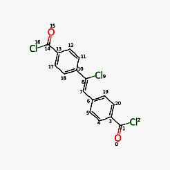 O=C(Cl)c1ccc(C=C(Cl)c2ccc(C(=O)Cl)cc2)cc1